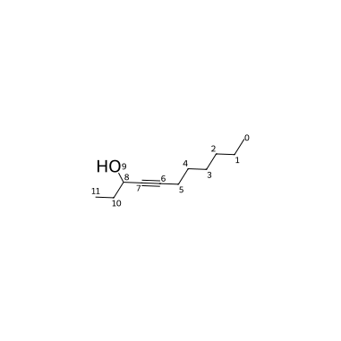 CCCCCCC#CC(O)CC